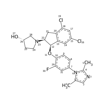 Cc1cnc(C)n1-c1ccc(O[C@@H]2c3cc(Cl)cc(Cl)c3C[C@@H]2N2CC[C@H](O)C2)c(F)c1